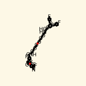 CC1(C)C(=O)N(c2ccc(C#N)c(C(F)(F)F)c2)C(=S)N1c1ccc(C(=O)NCCOCCOCCOCCOCCOCCOCCNC[C@@H](O)COc2ccc(OCc3ccc(F)cc3)c(OCc3ccc(F)cc3)c2)c(F)c1